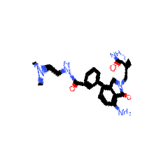 C=C(CN1Cc2c(-c3cccc(C(=O)NCCN(C)C)c3)ccc(N)c2C1=O)C(N)=O